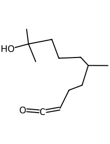 CC(CCC=C=O)CCCC(C)(C)O